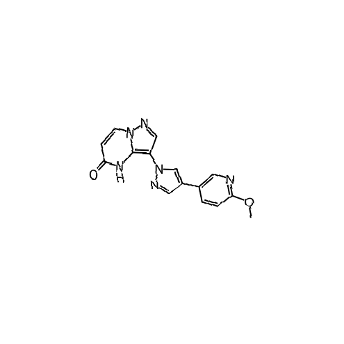 COc1ccc(-c2cnn(-c3cnn4ccc(=O)[nH]c34)c2)cn1